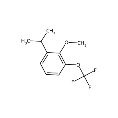 COc1c(OC(F)(F)F)cccc1[C](C)C